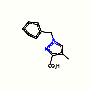 Cc1cn(Cc2ccccc2)nc1C(=O)O